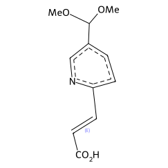 COC(OC)c1ccc(/C=C/C(=O)O)nc1